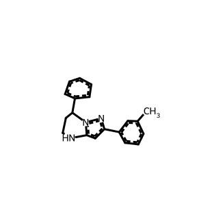 Cc1cccc(-c2cc3n(n2)C(c2ccccc2)CCN3)c1